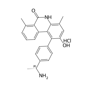 Cc1cc(O)c(-c2ccc([C@@H](C)N)cc2)c2c1[nH]c(=O)c1c(C)cccc12.Cl